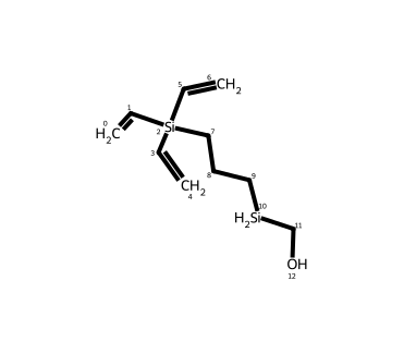 C=C[Si](C=C)(C=C)CCC[SiH2]CO